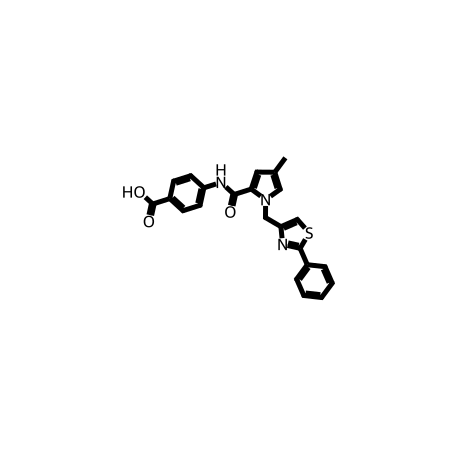 Cc1cc(C(=O)Nc2ccc(C(=O)O)cc2)n(Cc2csc(-c3ccccc3)n2)c1